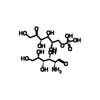 N[C@@H](C=O)[C@@H](O)[C@H](O)[C@H](O)CO.O=C(CO)[C@@H](O)[C@H](O)[C@H](O)COP(=O)(O)O